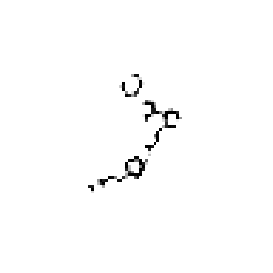 O=C(C=Cc1cnccc1-c1cnn(C2CCOCC2)c1)Nc1ccc(CCc2nnco2)cc1